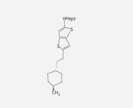 CCCCCCCc1cc2sc(CC[C@H]3CC[C@H](C)CC3)cc2s1